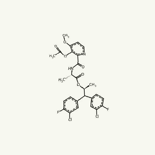 COc1ccnc(C(=O)N[C@@H](C)C(=O)O[C@@H](C)C(c2ccc(F)c(Cl)c2)c2ccc(F)c(Cl)c2)c1OC(C)=O